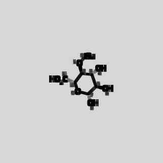 CC(C)(C)O[C@H]1[C@H](O)[C@@H](O)[C@H](O)O[C@@H]1C(=O)O